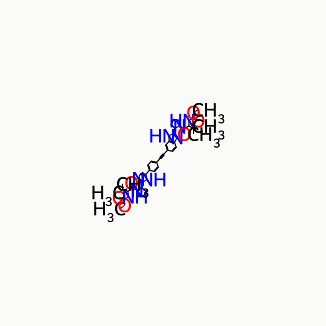 COC(=O)NC(C(=O)N1CCCC1c1ncc(-c2ccc(C#Cc3ccc4nc(C5CCCN5C(=O)C(NC(=O)OC)C(C)C)[nH]c4c3)cc2)[nH]1)C(C)C